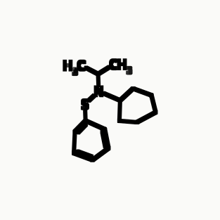 CC(C)N(Sc1ccccc1)C1CCCCC1